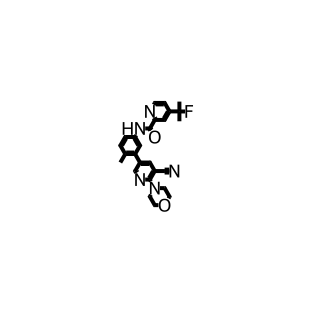 Cc1ccc(NC(=O)c2cc(C(C)(C)F)ccn2)cc1-c1cnc(N2CCOCC2)c(C#N)c1